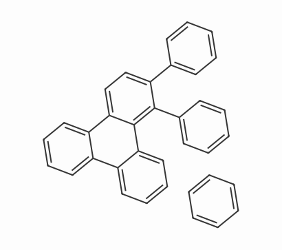 c1ccc(-c2ccc3c4ccccc4c4ccccc4c3c2-c2ccccc2)cc1.c1ccccc1